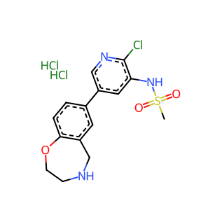 CS(=O)(=O)Nc1cc(-c2ccc3c(c2)CNCCO3)cnc1Cl.Cl.Cl